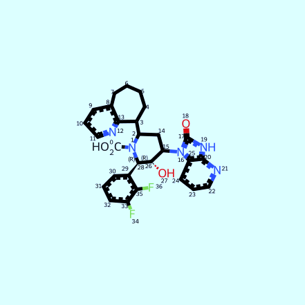 O=C(O)N1C(C2CCCCc3cccnc32)CC(n2c(=O)[nH]c3ncccc32)[C@H](O)[C@H]1c1cccc(F)c1F